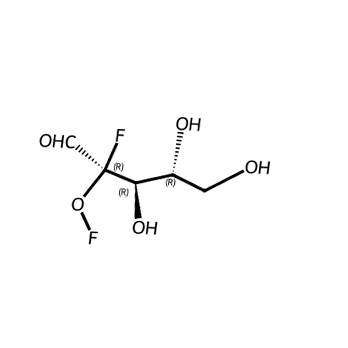 O=C[C@@](F)(OF)[C@H](O)[C@H](O)CO